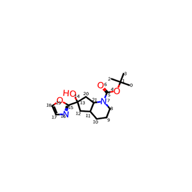 CC(C)(C)OC(=O)N1CCCC2CC(O)(c3ncco3)CC21